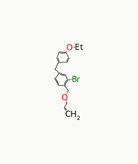 C=CCOCc1ccc(Cc2ccc(OCC)cc2)cc1Br